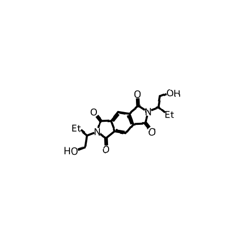 CCC(CO)n1c(=O)c2cc3c(=O)n(C(CC)CO)c(=O)c3cc2c1=O